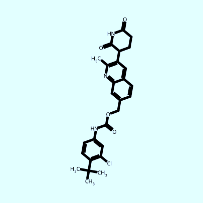 Cc1nc2cc(COC(=O)Nc3ccc(C(C)(C)C)c(Cl)c3)ccc2cc1C1CCC(=O)NC1=O